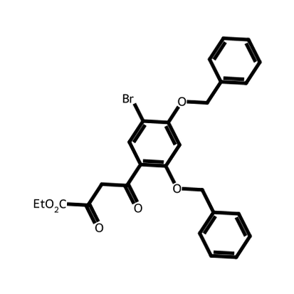 CCOC(=O)C(=O)CC(=O)c1cc(Br)c(OCc2ccccc2)cc1OCc1ccccc1